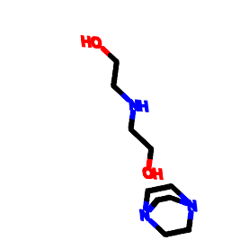 C1CN2CCN1CC2.OCCNCCO